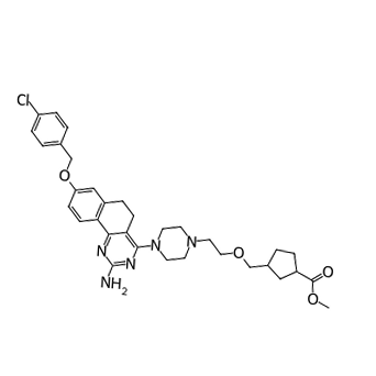 COC(=O)C1CCC(COCCN2CCN(c3nc(N)nc4c3CCc3cc(OCc5ccc(Cl)cc5)ccc3-4)CC2)C1